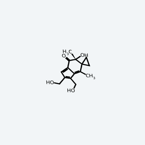 CC1=C2C(=CC(CO)=C2CO)C(=O)[C@](C)(O)C12CC2